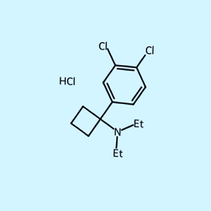 CCN(CC)C1(c2ccc(Cl)c(Cl)c2)CCC1.Cl